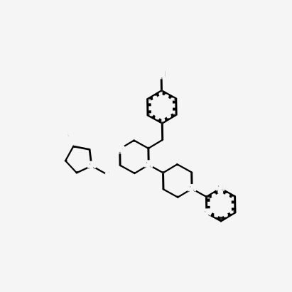 O[C@H]1CCN(C[C@H]2CN(C3CCN(c4ncccn4)CC3)C(Cc3ccc(Cl)cc3)CO2)C1